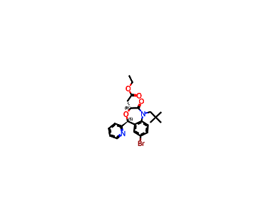 CCOC(=O)C[C@H]1O[C@H](c2ccccn2)c2cc(Br)ccc2N(CC(C)(C)C)C1=O